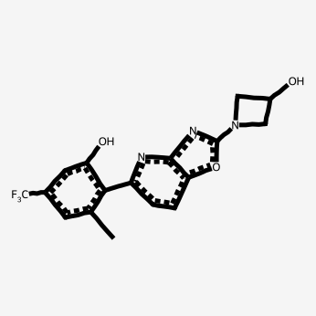 Cc1cc(C(F)(F)F)cc(O)c1-c1ccc2oc(N3CC(O)C3)nc2n1